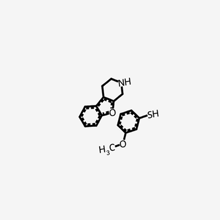 COc1cccc(S)c1.c1ccc2c3c(oc2c1)CNCC3